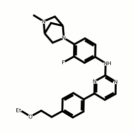 CCOCCc1ccc(-c2ccnc(Nc3ccc(N4CC5CC4CN5C)c(F)c3)n2)cc1